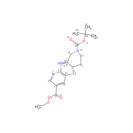 CCOC(=O)c1cnc(N[C@@H]2CCCN(C(=O)OC(C)(C)C)C2)c(Cl)c1